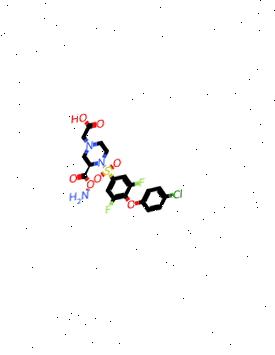 NOC(=O)[C@H]1CN(CC(=O)O)CCN1S(=O)(=O)c1cc(F)c(Oc2ccc(Cl)cc2)c(F)c1